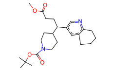 COC(=O)CCC(c1cnc2c(c1)CCCC2)C1CCN(C(=O)OC(C)(C)C)CC1